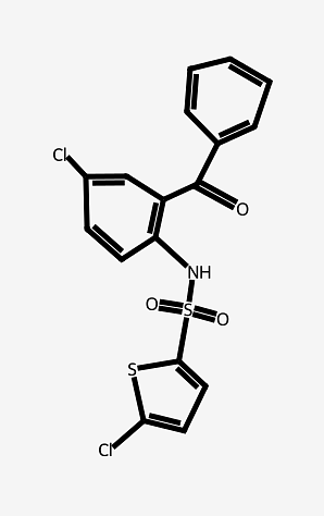 O=C(c1ccccc1)c1cc(Cl)ccc1NS(=O)(=O)c1ccc(Cl)s1